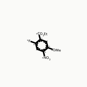 CCOC(=O)c1cc(OC)c([N+](=O)[O-])cc1F